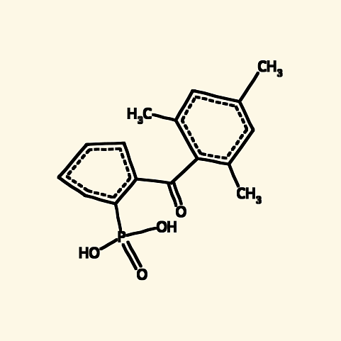 Cc1cc(C)c(C(=O)c2ccccc2P(=O)(O)O)c(C)c1